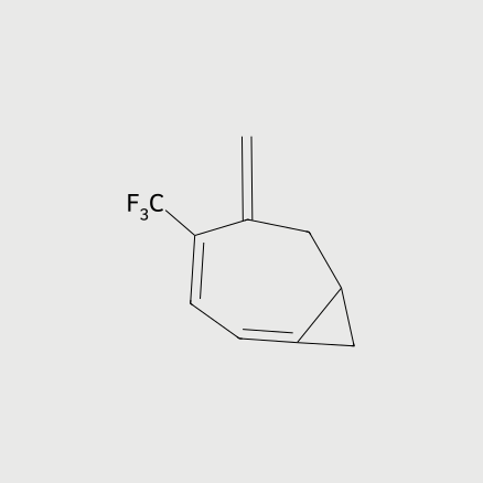 C=C1CC2CC2=CC=C1C(F)(F)F